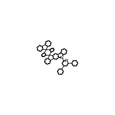 c1ccc(-c2cc(-c3ccccc3)nc(-n3c4ccccc4c4cc5c(cc43)-c3ccccc3C53c4ccccc4C4(c5ccccc5-c5ccccc54)c4ccccc43)c2)cc1